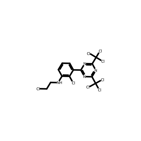 ClCCNc1cccc(-c2nc(C(Cl)(Cl)Cl)nc(C(Cl)(Cl)Cl)n2)c1Cl